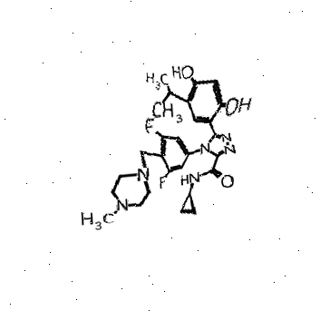 CC(C)c1cc(-c2nnc(C(=O)NC3CC3)n2-c2cc(F)c(CN3CCN(C)CC3)c(F)c2)c(O)cc1O